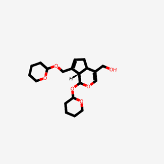 OCC1=COC(OC2CCCCO2)[C@@H]2C(COC3CCCCO3)=CCC12